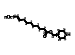 CCCCCCCCC=CCCCCCCCC(=O)OCN1CCNCC1